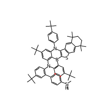 C[SiH](C)c1ccc(-c2cc(C(C)(C)C)ccc2N2c3ccc(C(C)(C)C)cc3B3c4sc5cc6c(cc5c4N(c4ccc(C(C)(C)C)cc4)c4cc(C(C)(C)C)cc2c43)C(C)(C)CCC6(C)C)cc1